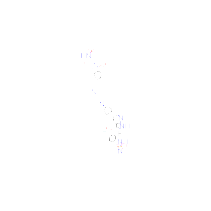 CCc1c(NS(=O)(=O)N2CC[C@@H](F)C2)ccc(F)c1C(=O)c1c[nH]c2ncc(-c3ccc(N4CCC(CN5CCC(c6ccc7c(c6)CN([C@H]6CCC(=O)NC6=O)C7=O)CC5)CC4)cc3)cc12